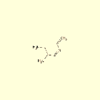 C=C/N=C\C(C)CN